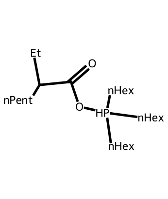 CCCCCC[PH](CCCCCC)(CCCCCC)OC(=O)C(CC)CCCCC